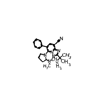 CN(C)C1CCCN1c1c(-c2ccccc2)cc(C#N)c2nc(C(C)(C)C)nn12